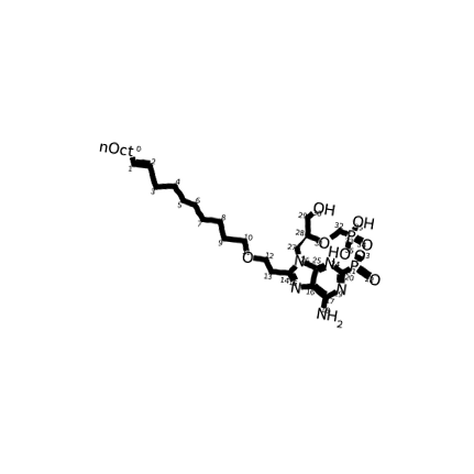 CCCCCCCCC=CCCCCCCCCOCCc1nc2c(N)nc(P(=O)=O)nc2n1C[C@@H](CO)OCP(=O)(O)O